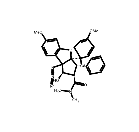 COC1=CCC(C)([C@@]23Oc4cc(OC)ccc4C2(N=[N+]=[N-])[C@H](O)[C@H](C(=O)N(C)C)[C@H]3c2ccccc2)C=C1